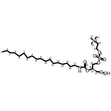 CCCCCCCCCCCCCCCCCCNC(=O)O[C@H](COO)COP(=O)([O-])OCC[N+](C)(C)C